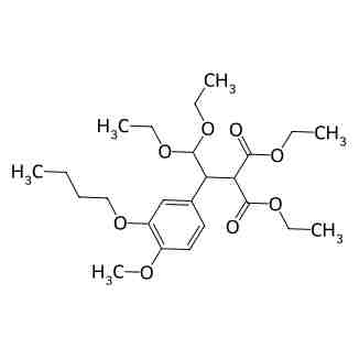 CCCCOc1cc(C(C(OCC)OCC)C(C(=O)OCC)C(=O)OCC)ccc1OC